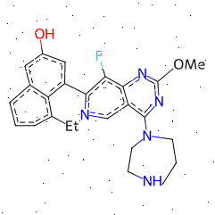 CCc1cccc2cc(O)cc(-c3ncc4c(N5CCCNCC5)nc(OC)nc4c3F)c12